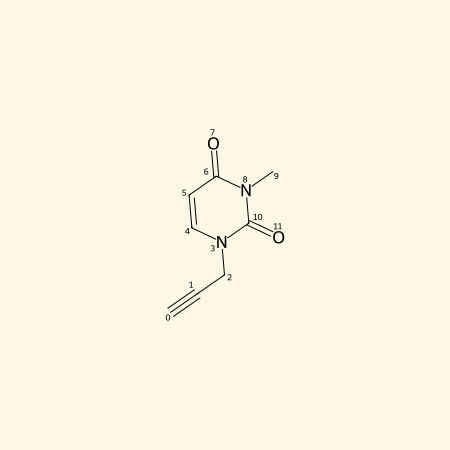 C#CCn1ccc(=O)n(C)c1=O